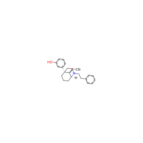 N#C/C=C1\[C@@H]2CCC[C@@]1(c1cccc(O)c1)CCN2CCc1ccccc1